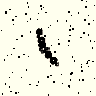 O=C(Nc1cc2ncc(CN3CCCC3)cc2cc1Cl)c1ccc(-c2ccc(Cl)cc2)cc1